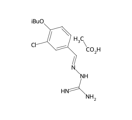 CC(=O)O.CC(C)COc1ccc(/C=N/NC(=N)N)cc1Cl